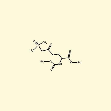 CCCCOC(=O)C(CCC(=O)C[SH](C)(C)=O)NC(=O)OC(C)(C)C